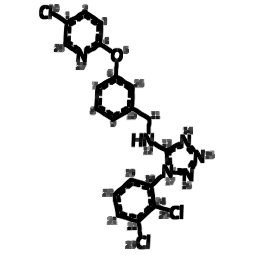 Clc1ccc(Oc2cccc(CNc3nnnn3-c3cccc(Cl)c3Cl)c2)nc1